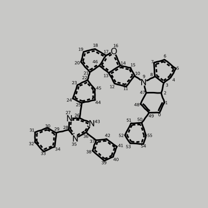 C1=CC2c3ccccc3N(c3ccc4c(c3)oc3cccc(-c5ccc(-c6nc(-c7ccccc7)nc(-c7ccccc7)n6)cc5)c34)C2C=C1c1ccccc1